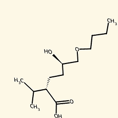 CCCCOC[C@H](O)CC[C@H](C(=O)O)C(C)C